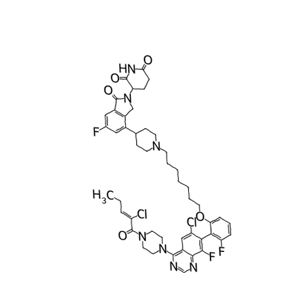 CCC=C(Cl)C(=O)N1CCN(c2ncnc3c(F)c(-c4c(F)cccc4OCCCCCCCN4CCC(c5cc(F)cc6c5CN(C5CCC(=O)NC5=O)C6=O)CC4)c(Cl)cc23)CC1